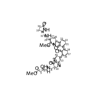 COC(=O)C[C@H](O)CNCc1cnc2cc(-c3cccc(-c4cccc(-c5ccc(CNC[C@@H]6CCC(=O)N6)c(OC)n5)c4Cl)c3Cl)ccn2c1=O